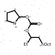 CCCCCCCCCC(CC)OC(=O)OC1CCC[N]1